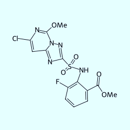 COC(=O)c1cccc(F)c1NS(=O)(=O)c1nc2cc(Cl)nc(OC)n2n1